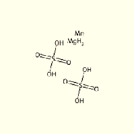 O=S(=O)(O)O.O=S(=O)(O)O.[MgH2].[Mn]